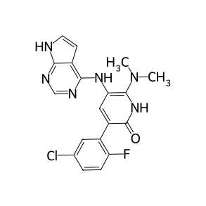 CN(C)c1[nH]c(=O)c(-c2cc(Cl)ccc2F)cc1Nc1ncnc2[nH]ccc12